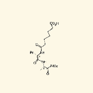 CNC(=O)[C@H](C)NC(=O)[C@@H](NC(=O)CCCCCC(=O)O)C(C)C